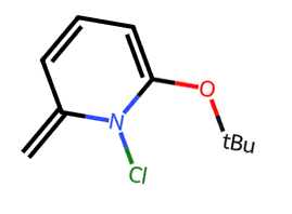 C=C1C=CC=C(OC(C)(C)C)N1Cl